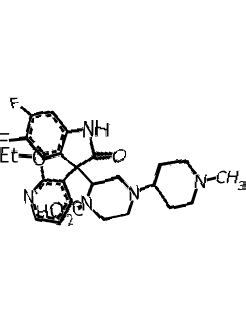 CCOc1ncccc1C1(C2CN(C3CCN(C)CC3)CCN2C(=O)O)C(=O)Nc2cc(F)c(F)cc21